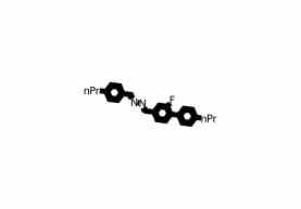 CCCc1ccc(C=NN=Cc2ccc(-c3ccc(CCC)cc3)c(F)c2)cc1